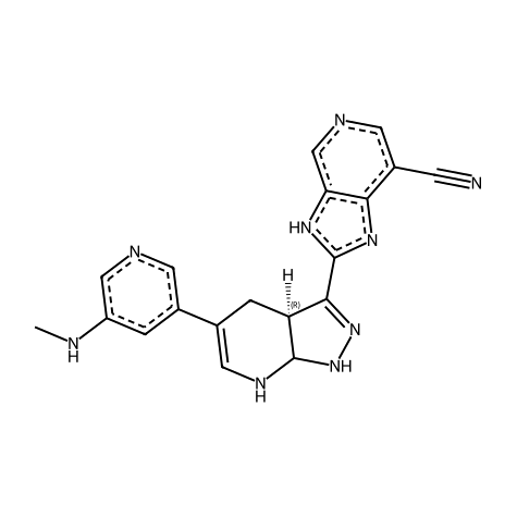 CNc1cncc(C2=CNC3NN=C(c4nc5c(C#N)cncc5[nH]4)[C@@H]3C2)c1